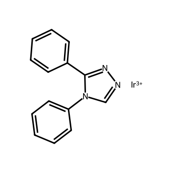 [Ir+3].c1ccc(-c2nncn2-c2ccccc2)cc1